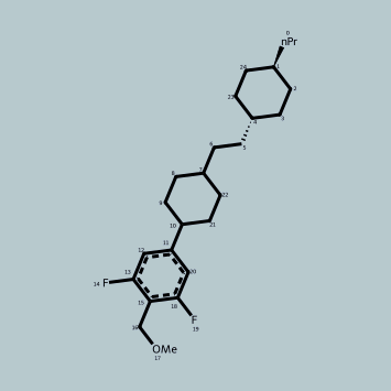 CCC[C@H]1CC[C@H](CCC2CCC(c3cc(F)c(COC)c(F)c3)CC2)CC1